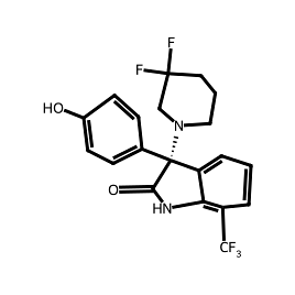 O=C1Nc2c(C(F)(F)F)cccc2[C@@]1(c1ccc(O)cc1)N1CCCC(F)(F)C1